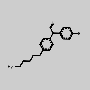 CCCCCCc1ccc(C(C=O)c2ccc(Br)cc2)cc1